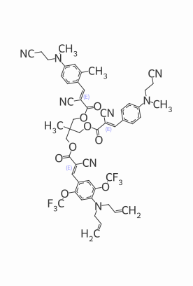 C=CCN(CC=C)c1cc(OC(F)(F)F)c(/C=C(\C#N)C(=O)OCC(C)(COC(=O)/C(C#N)=C/c2ccc(N(C)CCC#N)cc2)COC(=O)/C(C#N)=C/c2ccc(N(C)CCC#N)cc2C)cc1OC(F)(F)F